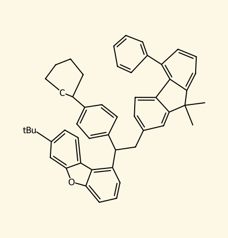 CC(C)(C)c1ccc2c(c1)oc1cccc(C(Cc3ccc4c(c3)C(C)(C)c3cccc(-c5ccccc5)c3-4)c3ccc(C4CCCCC4)cc3)c12